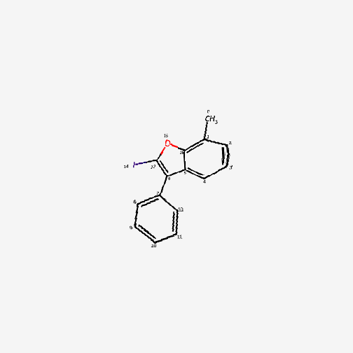 Cc1cccc2c(-c3ccccc3)c(I)oc12